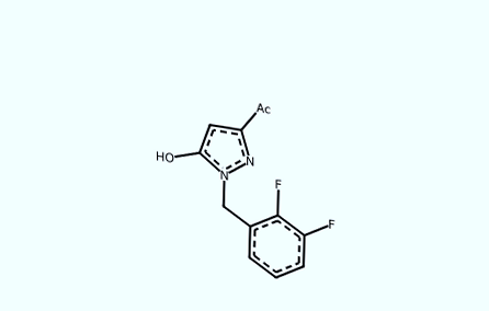 CC(=O)c1cc(O)n(Cc2cccc(F)c2F)n1